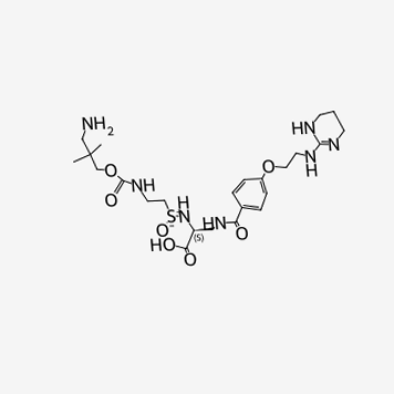 CC(C)(CN)COC(=O)NCC[S+]([O-])N[C@@H](CNC(=O)c1ccc(OCCNC2=NCCCN2)cc1)C(=O)O